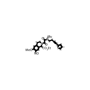 CCOC(=O)C1c2cc(N=O)c(OC)cc2CCN1C(=O)C(=O)N(CCC#Cc1cccs1)C(C)(C)C